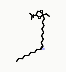 CCCCCCCC/C=C\CCCCCCCCC1(CC)OCC(N(C)C)O1